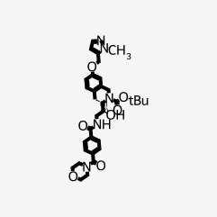 Cn1nccc1COc1ccc2c(c1)CN(C(=O)OC(C)(C)C)[C@H]([C@H](O)CNC(=O)c1ccc(C(=O)N3CCOCC3)cc1)C2